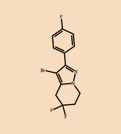 Fc1ccc(-c2nn3c(c2Br)CC(F)(F)CC3)cc1